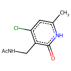 CC(=O)NCc1c(Cl)cc(C)[nH]c1=O